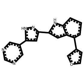 c1cc(-c2ccoc2)c2cc(-c3cc(-c4cncnc4)[nH]n3)[nH]c2c1